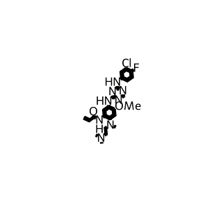 C=CC(=O)Nc1cc(Nc2ncnc(Nc3ccc(F)c(Cl)c3)n2)c(OC)cc1N(C)CCN(C)C